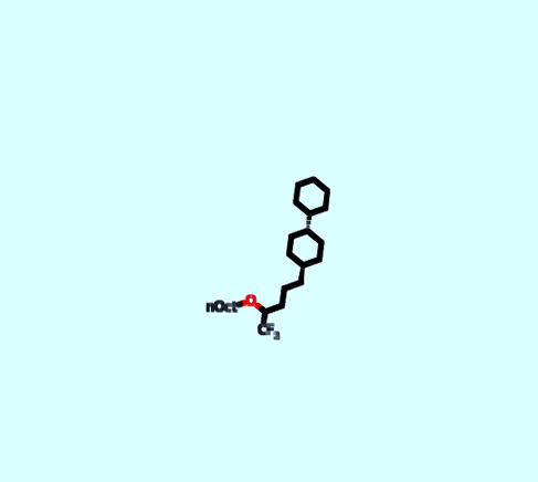 CCCCCCCCOC(CCC[C@H]1CC[C@H](C2CCCCC2)CC1)C(F)(F)F